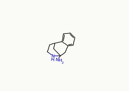 NC12Cc3ccccc3C(CCN1)C2